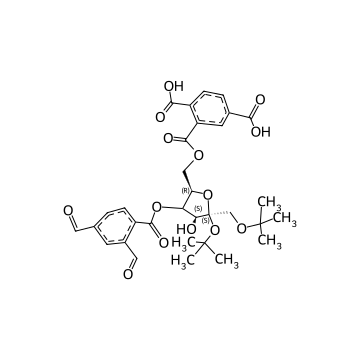 CC(C)(C)OC[C@@]1(OC(C)(C)C)O[C@H](COC(=O)c2cc(C(=O)O)ccc2C(=O)O)C(OC(=O)c2ccc(C=O)cc2C=O)[C@@H]1O